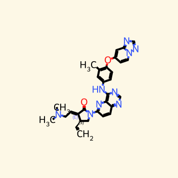 C=C[C@@H]1CN(c2ccc3ncnc(Nc4ccc(Oc5ccn6ncnc6c5)c(C)c4)c3n2)C(=O)/C1=C/CN(C)C